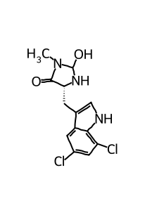 CN1C(=O)[C@@H](Cc2c[nH]c3c(Cl)cc(Cl)cc23)NC1O